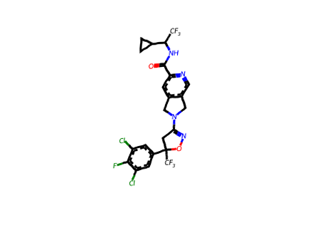 O=C(NC(C1CC1)C(F)(F)F)c1cc2c(cn1)CN(C1=NOC(c3cc(Cl)c(F)c(Cl)c3)(C(F)(F)F)C1)C2